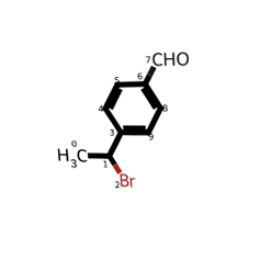 CC(Br)c1ccc(C=O)cc1